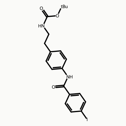 CC(C)(C)OC(=O)NCCc1ccc(NC(=O)c2ccc(I)cc2)cc1